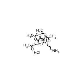 CC(=O)N[C@H]1C(OCCCN)O[C@H](COC(C)=O)[C@H](OC(C)=O)[C@@H]1OC(C)=O.Cl